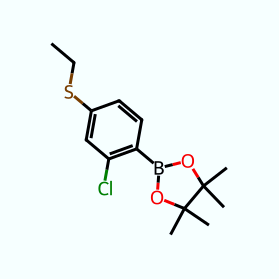 CCSc1ccc(B2OC(C)(C)C(C)(C)O2)c(Cl)c1